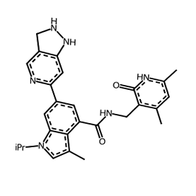 Cc1cc(C)c(CNC(=O)c2cc(-c3cc4c(cn3)CNN4)cc3c2c(C)cn3C(C)C)c(=O)[nH]1